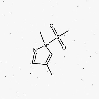 CC1=C[N+](C)(S(C)(=O)=O)N=[C]1